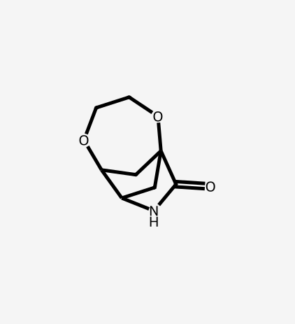 O=C1NC2CC13CC2OCCO3